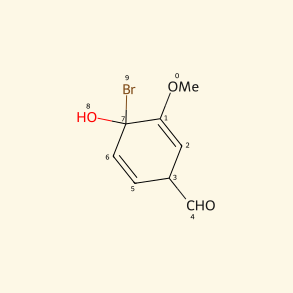 COC1=CC(C=O)C=CC1(O)Br